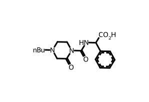 CCCCN1CCN(C(=O)NC(C(=O)O)c2ccccc2)C(=O)C1